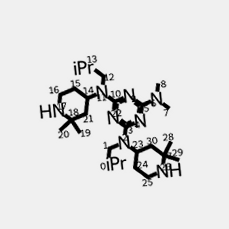 CC(C)CN(c1nc(N(C)C)nc(N(CC(C)C)C2CCNC(C)(C)C2)n1)C1CCNC(C)(C)C1